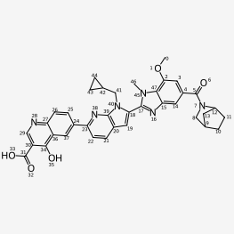 COc1cc(C(=O)N2CC3CCC2C3)cc2nc(-c3cc4ccc(-c5ccc6ncc(C(=O)O)c(O)c6c5)nc4n3CC3CC3)n(C)c12